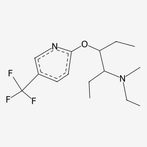 CCC(Oc1ccc(C(F)(F)F)cn1)C(CC)N(C)CC